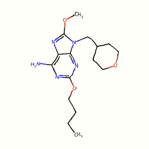 CCCCOc1nc(N)c2nc(OC)n(CC3CCOCC3)c2n1